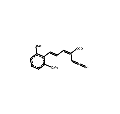 COc1cccc(OC)c1C=CC=C(N=[N+]=N)C(=O)[O-]